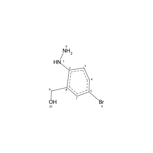 NNc1ccc(Br)cc1CO